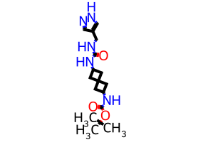 CC(C)(C)OC(=O)NC1CC2(CC(NC(=O)NCc3cn[nH]c3)C2)C1